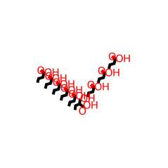 CCC(CO)C(=O)O.CCCC(=O)O.CCCC(=O)O.CCCC(=O)O.CCCC(=O)O.CCCC(=O)O.CCCC(=O)O.CCCC(=O)O.CCCC(=O)O